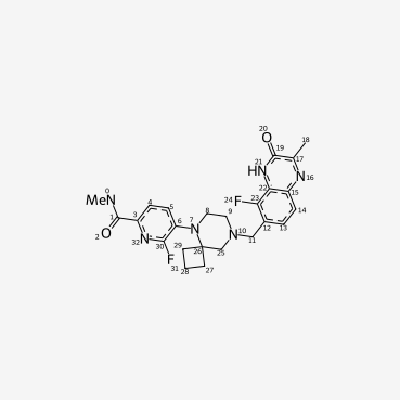 CNC(=O)c1ccc(N2CCN(Cc3ccc4nc(C)c(=O)[nH]c4c3F)CC23CCC3)c(F)n1